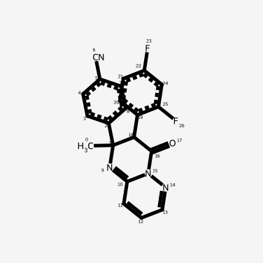 CC1(c2ccc(C#N)cc2)N=C2C=CC=NN2C(=O)C1c1ccc(F)cc1F